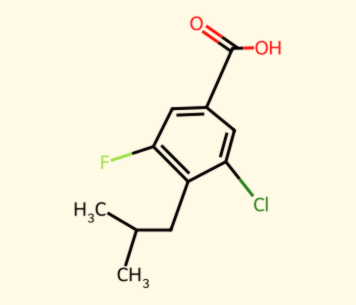 CC(C)Cc1c(F)cc(C(=O)O)cc1Cl